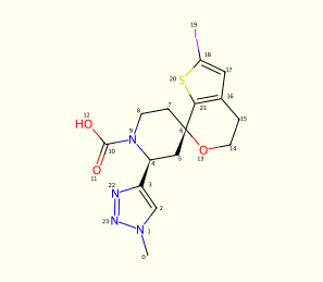 Cn1cc([C@@H]2C[C@]3(CCN2C(=O)O)OCCc2cc(I)sc23)nn1